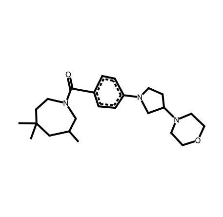 CC1CN(C(=O)c2ccc(N3CCC(N4CCOCC4)C3)cc2)CCC(C)(C)C1